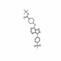 CC(C)(C)OC(=O)N1CCC(Sc2ncnc3c(-c4ccc(S(C)(=O)=O)cc4)noc23)CC1